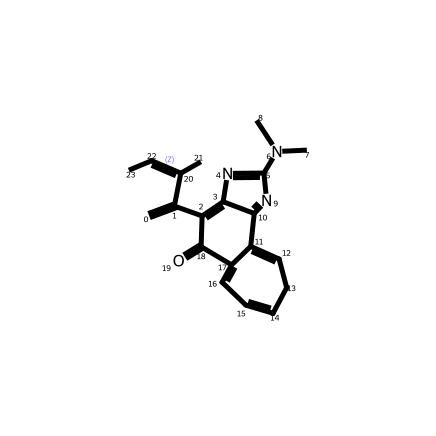 C=C(C1=C2N=C(N(C)C)N=C2C2=CCC=CC=C2C1=O)/C(C)=C\C